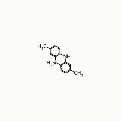 Cc1ccc2c(c1)Nc1ccc(C)cc1[SiH2]2